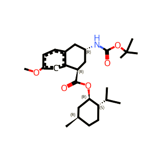 COc1ccc2c(c1)[C@H](C(=O)O[C@@H]1C[C@H](C)CC[C@H]1C(C)C)C[C@@H](NC(=O)OC(C)(C)C)C2